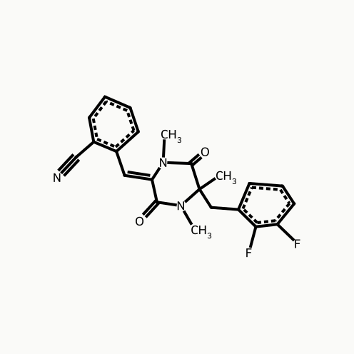 CN1C(=O)C(C)(Cc2cccc(F)c2F)N(C)C(=O)C1=Cc1ccccc1C#N